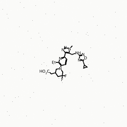 CCc1nc(-c2nnn(C)c2CNc2noc(C3CC3)n2)ccc1N1CC(CC(=O)O)CC(F)(F)C1